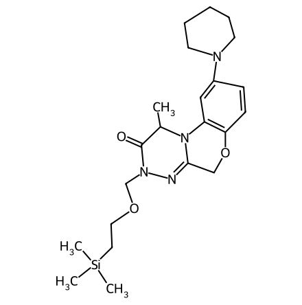 CC1C(=O)N(COCC[Si](C)(C)C)N=C2COc3ccc(N4CCCCC4)cc3N21